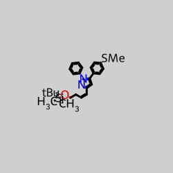 CSc1ccc(-c2cc(/C=C\CCO[Si](C)(C)C(C)(C)C)nn2-c2ccccc2)cc1